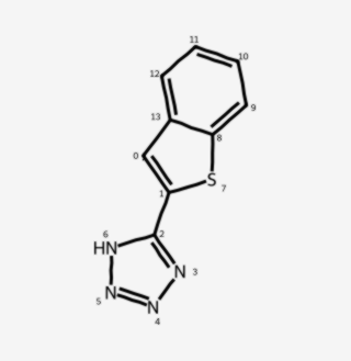 [c]1c(-c2nnn[nH]2)sc2ccccc12